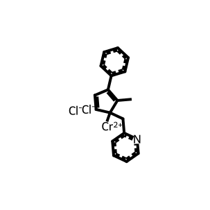 CC1=C(c2ccccc2)C=C[C]1([Cr+2])Cc1ccccn1.[Cl-].[Cl-]